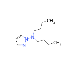 CCCCN(CCCC)n1cc[c]n1